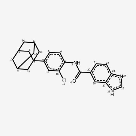 O=C(Nc1ccc(C23CC4CC(CC(C4)C2)C3)cc1Cl)c1ccc2nc[nH]c2c1